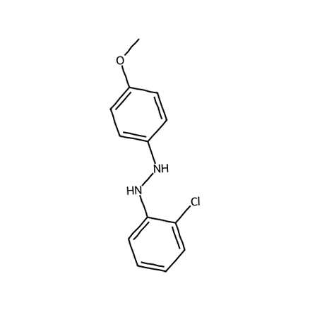 COc1ccc(NNc2ccccc2Cl)cc1